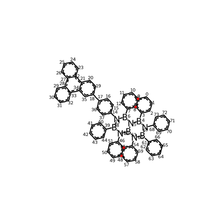 c1ccc(B2N3B(c4ccccc4)N(c4ccc(-c5ccc6c7ccccc7c7ccccc7c6c5)cc4)B(c4ccccc4)N(c4ccccc4)B3N(c3ccccc3)B(c3ccccc3)N2c2ccccc2)cc1